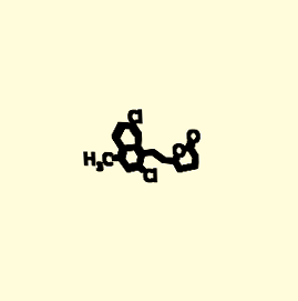 Cc1cc(Cl)c(CCC2CCCC(=O)O2)c2cc(Cl)ccc12